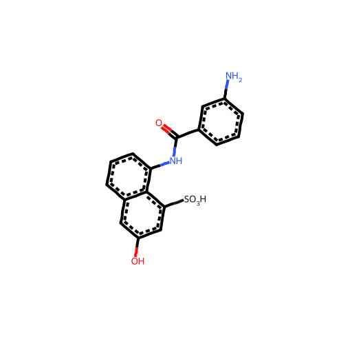 Nc1cccc(C(=O)Nc2cccc3cc(O)cc(S(=O)(=O)O)c23)c1